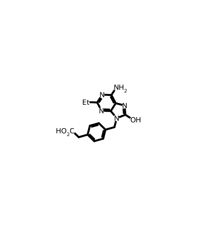 CCc1nc(N)c2nc(O)n(Cc3ccc(CC(=O)O)cc3)c2n1